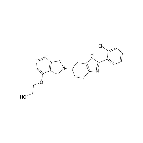 OCCOc1cccc2c1CN(C1CCc3nc(-c4ccccc4Cl)[nH]c3C1)C2